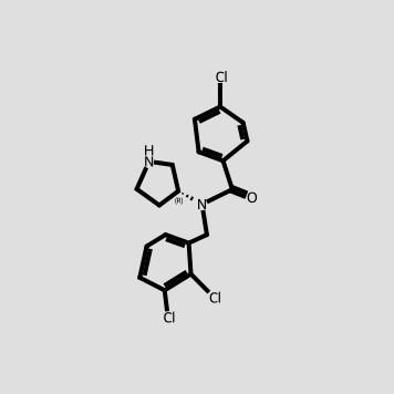 O=C(c1ccc(Cl)cc1)N(Cc1cccc(Cl)c1Cl)[C@@H]1CCNC1